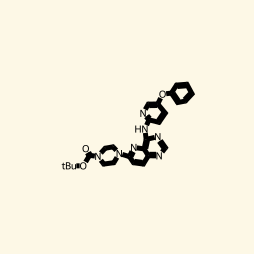 CC(C)(C)OC(=O)N1CCN(c2ccc3ncnc(Nc4ccc(Oc5ccccc5)cn4)c3n2)CC1